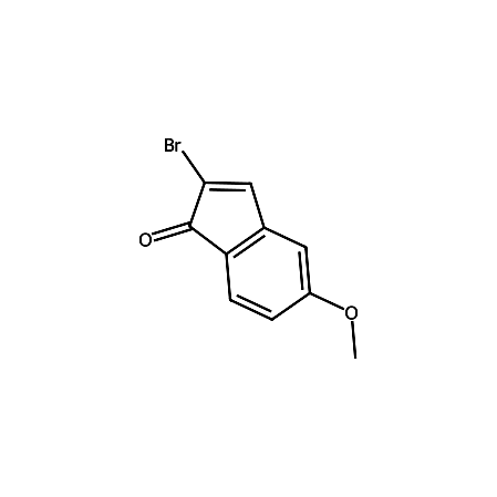 COc1ccc2c(c1)C=C(Br)C2=O